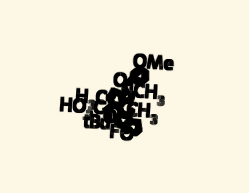 COc1ccc(C)c(C(=O)N2CCc3c2cc(C)c([C@H](OC(C)(C)C)C(=O)O)c3-c2cc(F)c3c(c2C)CCCO3)c1